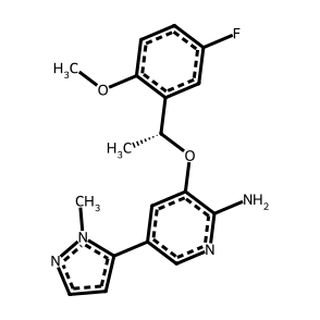 COc1ccc(F)cc1[C@@H](C)Oc1cc(-c2ccnn2C)cnc1N